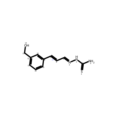 NC(=S)NN=C/C=C/c1cccc(CO)c1